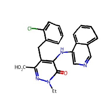 CCn1nc(C(=O)O)c(Cc2ccccc2Cl)c(Nc2cncc3ccccc23)c1=O